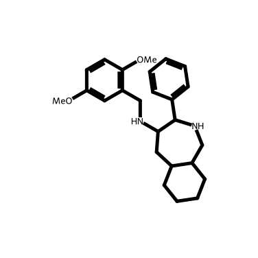 COc1ccc(OC)c(CNC2CC3CCCCC3CNC2c2ccccc2)c1